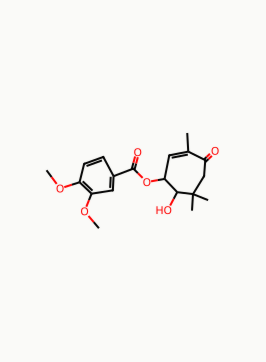 COc1ccc(C(=O)OC2C=C(C)C(=O)CC(C)(C)C2O)cc1OC